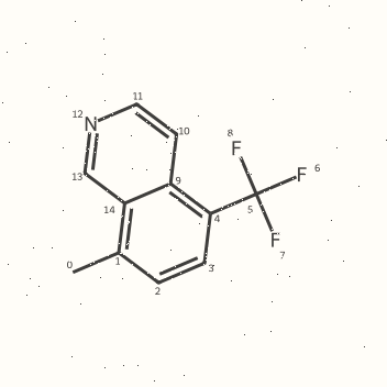 Cc1ccc(C(F)(F)F)c2ccncc12